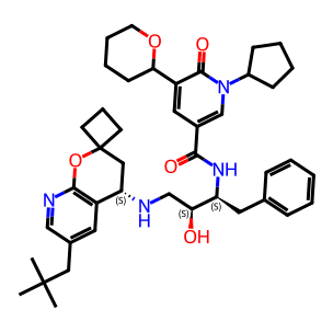 CC(C)(C)Cc1cnc2c(c1)[C@@H](NC[C@H](O)[C@H](Cc1ccccc1)NC(=O)c1cc(C3CCCCO3)c(=O)n(C3CCCC3)c1)CC1(CCC1)O2